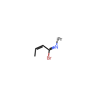 C/C=C\C(Br)=N/C(C)C